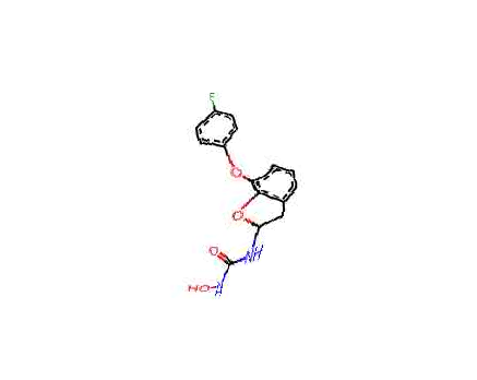 O=C(NO)NC1Cc2cccc(Oc3ccc(F)cc3)c2O1